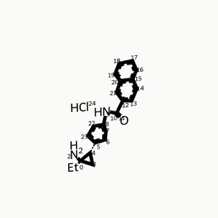 CC[C@]1(N)C[C@H]1c1ccc(NC(=O)c2ccc3ccccc3c2)cc1.Cl